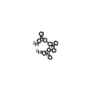 [2H]c1ccc2c(c1)c1cc(-c3cc(-c4ccc5c(c4)c4cc([2H])ccc4n5-c4ccccc4)c4c(c3)c3ccccc3n4-c3ccccc3)ccc1n2-c1ccccc1